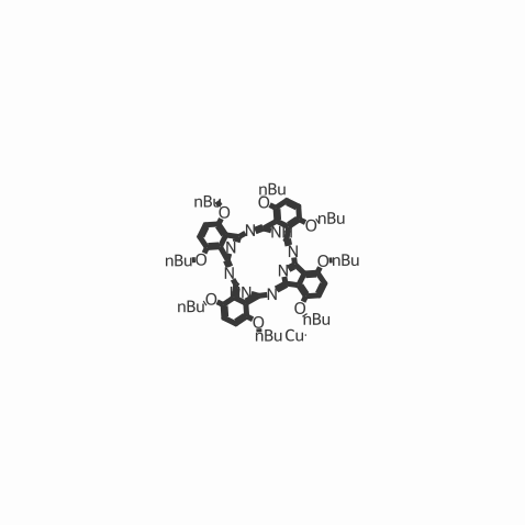 CCCCOc1ccc(OCCCC)c2c1-c1nc-2nc2[nH]c(nc3nc(nc4[nH]c(n1)c1c(OCCCC)ccc(OCCCC)c41)-c1c(OCCCC)ccc(OCCCC)c1-3)c1c(OCCCC)ccc(OCCCC)c21.[Cu]